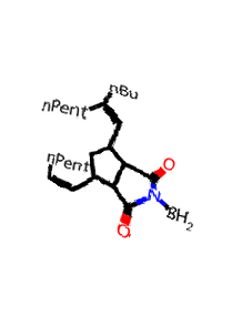 BN1C(=O)C2C(/C=C\CCCCC)CC(/C=C(/CCCC)CCCCC)C2C1=O